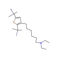 CCN(CC)CCCCCCc1cc(C(C)(C)I)sc1C(C)(C)I